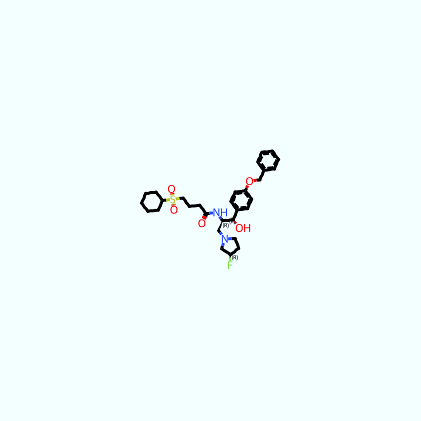 O=C(CCCS(=O)(=O)C1CCCCC1)N[C@H](CN1CC[C@@H](F)C1)[C@H](O)c1ccc(OCc2ccccc2)cc1